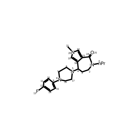 CCCN1CCC(N2CCN(c3ccc(F)cc3)CC2)c2cn(C)cc2C1=O